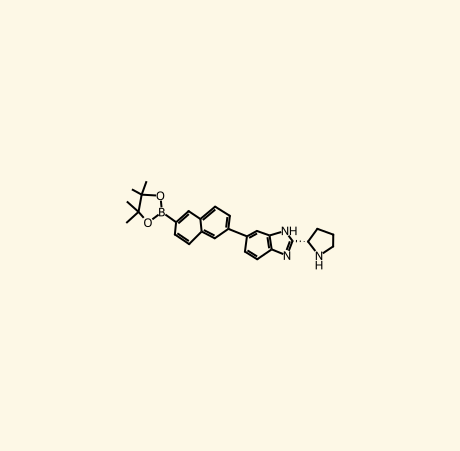 CC1(C)OB(c2ccc3cc(-c4ccc5nc([C@@H]6CCCN6)[nH]c5c4)ccc3c2)OC1(C)C